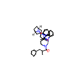 Cc1nc2ccccc2n1C1C[C@H]2CC[C@@H](C1)N2CCC1(c2ccccc2)CCN(C(=O)C(C)Cc2ccccc2)CC1